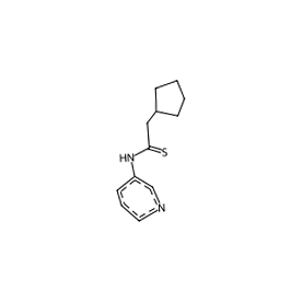 S=C(CC1CCCC1)Nc1cccnc1